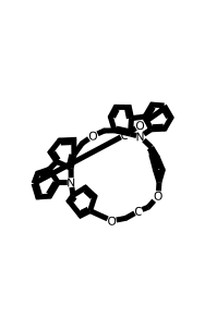 c1cc2c3c(c1)c1cc4ccc1n3-c1ccc(cc1)OCCCOc1ccc(cc1)-n1c3ccc(cc3c3cccc(c31)COC2)COC4